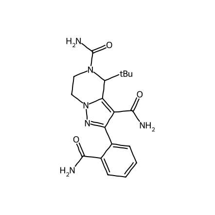 CC(C)(C)C1c2c(C(N)=O)c(-c3ccccc3C(N)=O)nn2CCN1C(N)=O